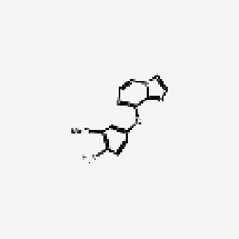 COc1cc(Oc2cccn3ccnc23)ccc1N